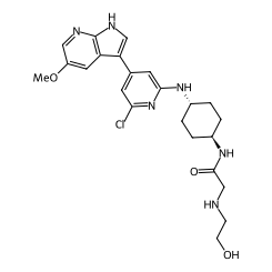 COc1cnc2[nH]cc(-c3cc(Cl)nc(N[C@H]4CC[C@H](NC(=O)CNCCO)CC4)c3)c2c1